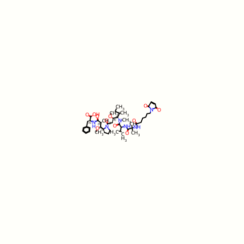 CC[C@H](C)[C@@H]([C@@H](CC(=O)N1CCC[C@H]1[C@H](OC)[C@@H](C)C(=O)N[C@@H](Cc1ccccc1)C(=O)O)OC)N(C)C(=O)C(NC(=O)C(C)(C)NC(=O)CCCCCN1C(=O)C=CC1=O)C(C)C